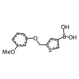 COc1cccc(OCc2cc(B(O)O)cs2)c1